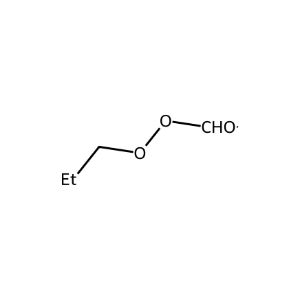 CCCOO[C]=O